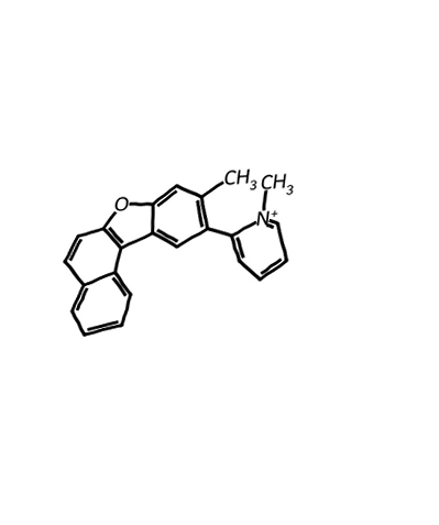 Cc1cc2oc3ccc4ccccc4c3c2cc1-c1cccc[n+]1C